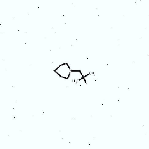 CC(C)(F)CN1CC[CH]CC1